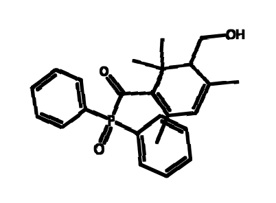 CC1=CC(C)=C(C(=O)P(=O)(c2ccccc2)c2ccccc2)C(C)(C)C1CO